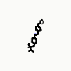 C=C(C)C(=S)Cc1ccc(/C=C/c2ccc(COC)cc2)cc1